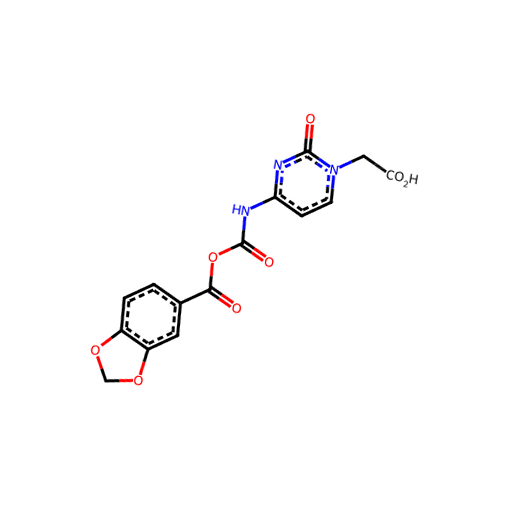 O=C(O)Cn1ccc(NC(=O)OC(=O)c2ccc3c(c2)OCO3)nc1=O